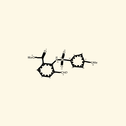 COC(=O)c1cccc(C=O)c1NS(=O)(=O)c1ccc(OC)cc1